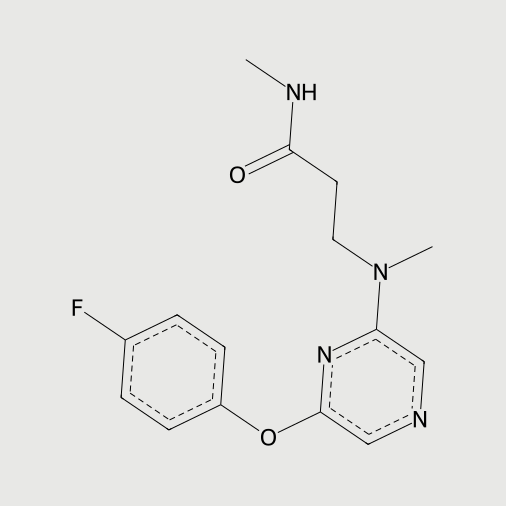 CNC(=O)CCN(C)c1cncc(Oc2ccc(F)cc2)n1